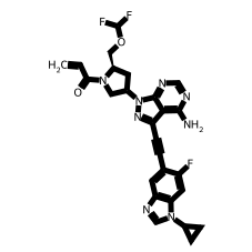 C=CC(=O)N1CC(n2nc(C#Cc3cc4ncn(C5CC5)c4cc3F)c3c(N)ncnc32)C[C@@H]1COC(F)F